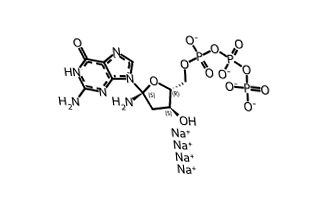 Nc1nc2c(ncn2[C@@]2(N)C[C@H](O)[C@@H](COP(=O)([O-])OP(=O)([O-])OP(=O)([O-])[O-])O2)c(=O)[nH]1.[Na+].[Na+].[Na+].[Na+]